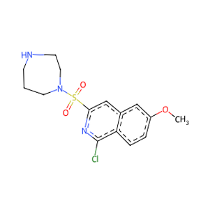 COc1ccc2c(Cl)nc(S(=O)(=O)N3CCCNCC3)cc2c1